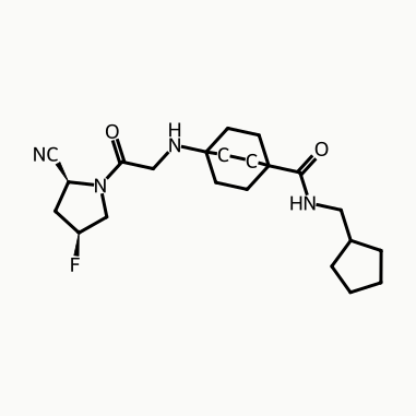 N#C[C@@H]1C[C@H](F)CN1C(=O)CNC12CCC(C(=O)NCC3CCCC3)(CC1)CC2